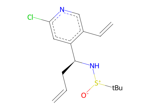 C=CC[C@H](N[S+]([O-])C(C)(C)C)c1cc(Cl)ncc1C=C